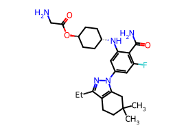 CCc1nn(-c2cc(F)c(C(N)=O)c(N[C@H]3CC[C@H](OC(=O)CN)CC3)c2)c2c1CCC(C)(C)C2